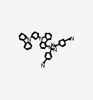 N#Cc1ccc(-c2nc(-c3ccc(C#N)cc3)n(-c3cccc4c3c3ccccc3n4-c3cccc(-n4c5ccccc5c5ccccc54)c3)n2)cc1